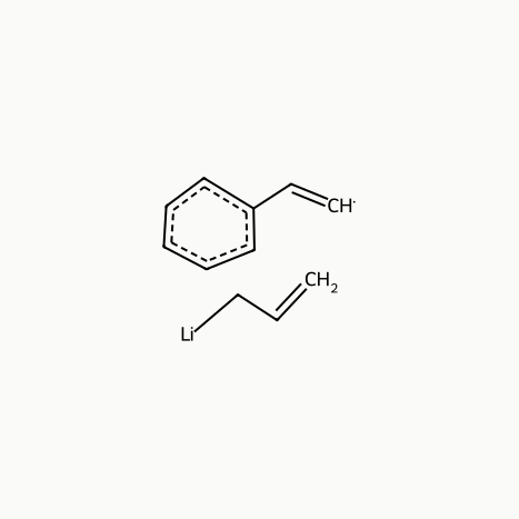 [CH]=Cc1ccccc1.[Li][CH2]C=C